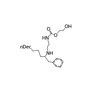 CCCCCCCCCCCCCC(Cc1ccccc1)NCCNC(=O)OCCO